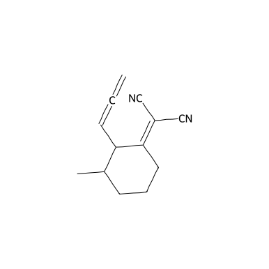 C=C=CC1C(=C(C#N)C#N)CCCC1C